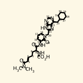 CN(C)C(=O)C=CCCC(NC(=O)O)C(=O)Nc1cccn(Cc2nc3c(CC4CCCCC4)ncnc3[nH]2)c1=O